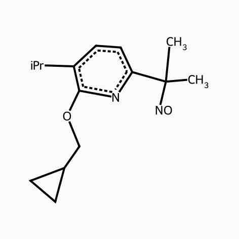 CC(C)c1ccc(C(C)(C)N=O)nc1OCC1CC1